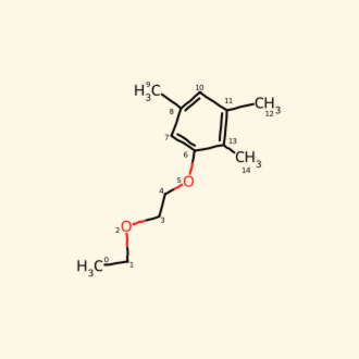 CCOCCOc1cc(C)cc(C)c1C